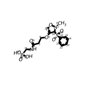 CN1ON=C(OCCC(=O)NCP(=O)(O)O)C1S(=O)(=O)c1ccccc1